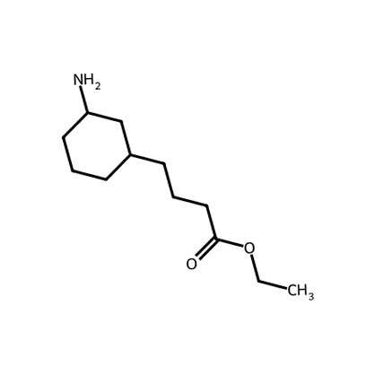 CCOC(=O)CCCC1CCCC(N)C1